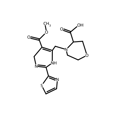 COC(=O)C1=C(CN2CCOCC2C(=O)O)NC(c2nccs2)=NC1